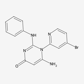 Nc1cc(=O)nc(Nc2ccccc2)n1-c1cc(Br)ccn1